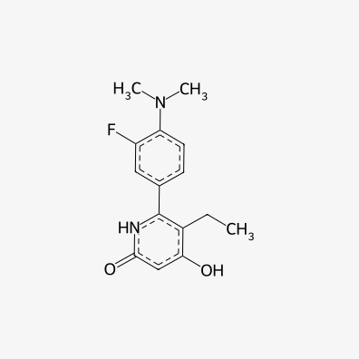 CCc1c(O)cc(=O)[nH]c1-c1ccc(N(C)C)c(F)c1